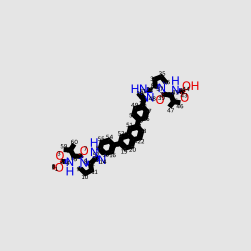 COC(=O)N[C@H](C(=O)N1CCCC1c1nc2cc(-c3ccc4ccc(-c5ccc(-c6c[nH]c([C@@H]7CCCN7C(=O)[C@@H](NC(=O)O)C(C)C)n6)cc5)cc4c3)ccc2[nH]1)C(C)C